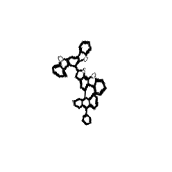 c1ccc(-c2c3ccccc3c(-c3cc4c(c5oc6ccccc6c35)SC(c3c5oc6ccccc6c5cc5oc6ccccc6c35)C4)c3ccccc23)cc1